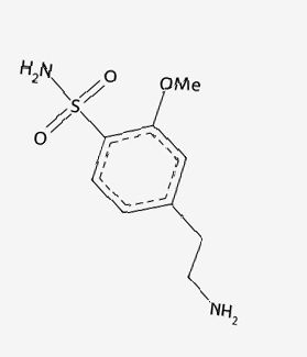 COc1cc(CCN)ccc1S(N)(=O)=O